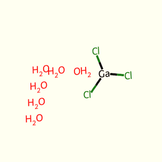 O.O.O.O.O.O.[Cl][Ga]([Cl])[Cl]